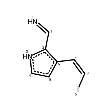 N=Cc1[nH]ccc1/C=C\I